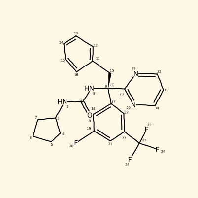 O=C(NC1CCCC1)N[C@@](Cc1ccccc1)(c1cc(F)cc(C(F)(F)F)c1)c1ncccn1